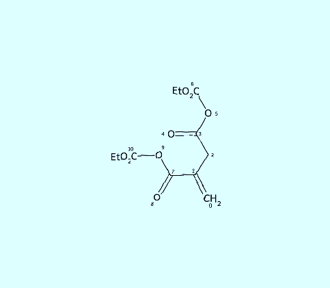 C=C(CC(=O)OC(=O)OCC)C(=O)OC(=O)OCC